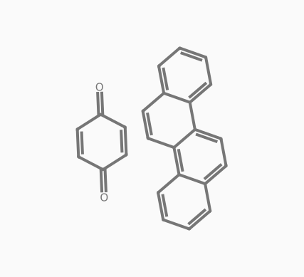 O=C1C=CC(=O)C=C1.c1ccc2c(c1)ccc1c3ccccc3ccc21